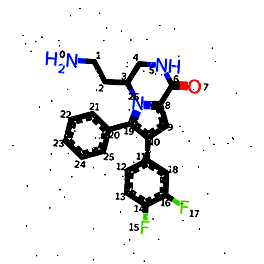 NCCC1CNC(=O)c2cc(-c3ccc(F)c(F)c3)c(-c3ccccc3)n21